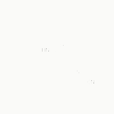 N#CCSCCCC(=O)NCc1ccccc1